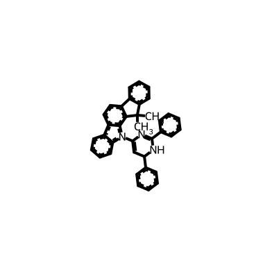 CC1(C)c2ccccc2-c2ccc3c4ccccc4n(C4=CC(c5ccccc5)NC(c5ccccc5)=N4)c3c21